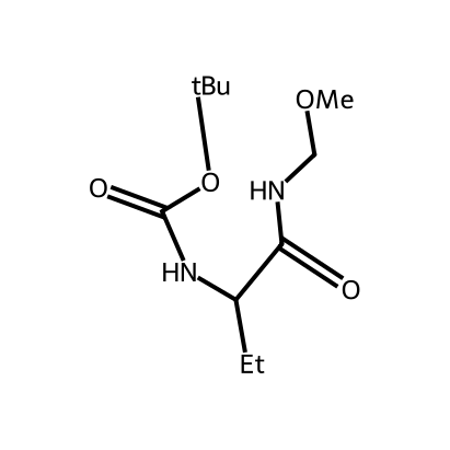 CCC(NC(=O)OC(C)(C)C)C(=O)NCOC